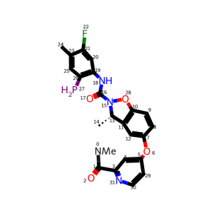 CNC(=O)c1cc(Oc2ccc3c(c2)[C@H](C)N(C(=O)Nc2cc(F)c(C)cc2P)O3)ccn1